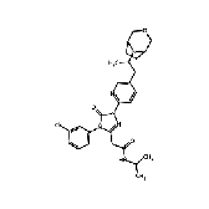 CC(C)NC(=O)Cc1nn(-c2ccc(CC(C)N3C4CCC3COC4)cn2)c(=O)n1-c1cccc(Cl)c1